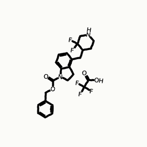 O=C(O)C(F)(F)F.O=C(OCc1ccccc1)N1CCc2c(CC3CCNCC3(F)F)cccc21